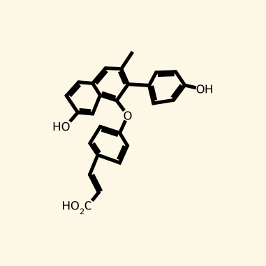 Cc1cc2ccc(O)cc2c(Oc2ccc(C=CC(=O)O)cc2)c1-c1ccc(O)cc1